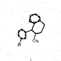 N#CC1CCc2ccccc2C1c1cccc(Br)c1